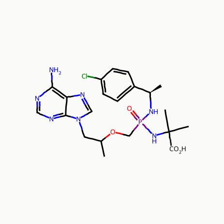 CC(Cn1cnc2c(N)ncnc21)OCP(=O)(N[C@H](C)c1ccc(Cl)cc1)NC(C)(C)C(=O)O